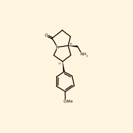 COc1ccc([C@H]2CN3C(=O)CC[C@]3(CN)C2)cc1